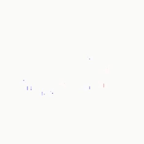 CC(C)=NNc1ccc(OCC(C)(C)NCC(O)COc2cc(Cl)ccc2C#N)nn1